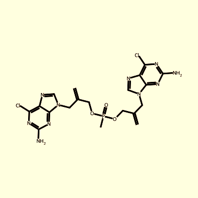 C=C(COP(C)(=O)OCC(=C)Cn1cnc2c(Cl)nc(N)nc21)Cn1cnc2c(Cl)nc(N)nc21